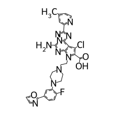 Cc1ccnc(-c2nc3c4c(Cl)c(C(=O)O)n(CCN5CCN(c6cc(-c7ncco7)ccc6F)CC5)c4nc(N)n3n2)c1